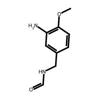 COc1ccc(CNC=O)cc1N